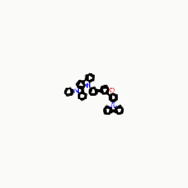 c1ccc(-n2c3ccccc3c3c2ccc2c4ccccc4n(-c4cccc(-c5ccc6oc7ccc(-n8c9ccccc9c9ccccc98)cc7c6c5)c4)c23)cc1